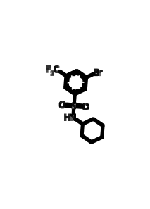 O=S(=O)(NC1CCCCC1)c1cc(Br)cc(C(F)(F)F)c1